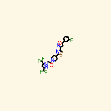 O=C(Cn1nc(C(F)F)cc1C(F)F)N1CCC(c2nc(C3=NOC(c4[c]c(F)ccc4)C3)cs2)CC1